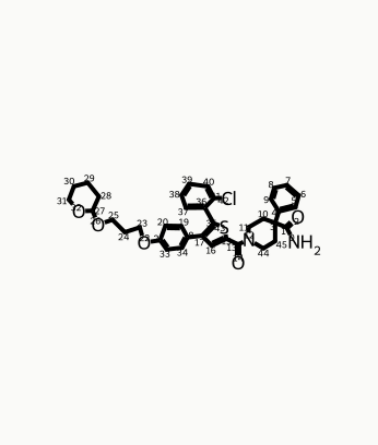 NC(=O)C1(c2ccccc2)CCN(C(=O)c2cc(-c3ccc(OCCCOC4CCCCO4)cc3)c(-c3ccccc3Cl)s2)CC1